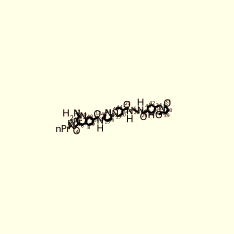 CCCN(CCC)C(=O)C1=Cc2ccc(C(=O)Nc3ccc(N4CCC(C(=O)NCCNC(=O)C5CCC(CN6C(=O)C=CC6O)CC5)CC4)nc3)cc2N=C(N)C1